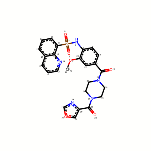 O=C(c1ccc(NS(=O)(=O)c2cccc3cccnc23)c(OC(F)(F)F)c1)N1CCN(C(=O)c2cocn2)CC1